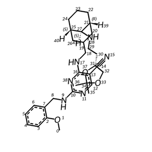 COc1ccccc1CNc1ncc(C#N)c(NCC2C[C@H]3CCC[C@@H](C2)[C@@H]3NCC[C@@H]2COC(C)(C)O2)n1